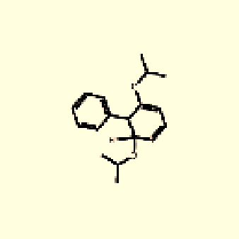 CC(C)OC1=CC=CC(Br)(OC(C)C)C1c1ccccc1